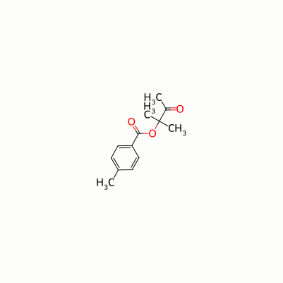 CC(=O)C(C)(C)OC(=O)c1ccc(C)cc1